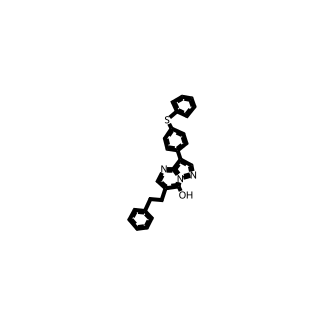 Oc1c(CCc2ccccc2)cnc2c(-c3ccc(Sc4ccccc4)cc3)cnn12